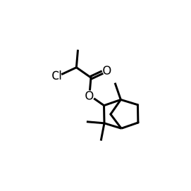 CC(Cl)C(=O)OC1C2(C)CCC(C2)C1(C)C